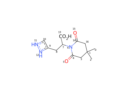 CC1(C)CC(=O)N(C(Cc2c[nH][nH]2)C(=O)O)C(=O)C1